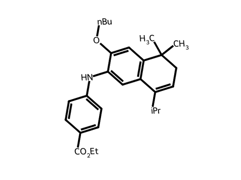 CCCCOc1cc2c(cc1Nc1ccc(C(=O)OCC)cc1)C(C(C)C)=CCC2(C)C